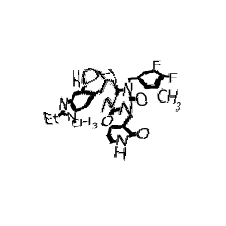 CCc1nc2cc(O)c(Nc3nc(=O)n(Cc4ccc[nH]c4=O)c(=O)n3Cc3cc(C)c(F)c(F)c3)cc2n1C